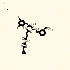 CCc1cccc(CNC[C@@H](O)[C@H](Cc2cc(F)cc(F)c2)NC(=O)CCC(=O)Nc2nnc(C3CC3)s2)c1